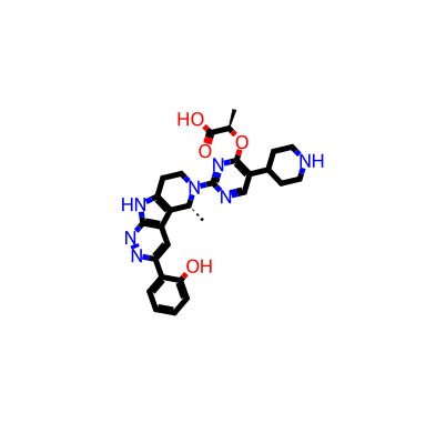 C[C@@H]1c2c([nH]c3nnc(-c4ccccc4O)cc23)CCN1c1ncc(C2CCNCC2)c(O[C@H](C)C(=O)O)n1